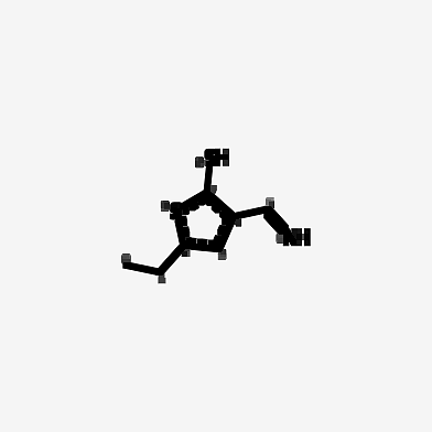 CCc1cc(C=N)c(S)s1